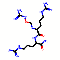 N=C(N)NCCCC(NC(=O)C(CCCNC(=N)N)NCONC(=N)N)C(N)=O